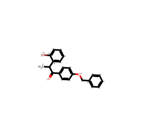 CC(C(=O)c1ccc(OCc2ccccc2)cc1)c1ccccc1Br